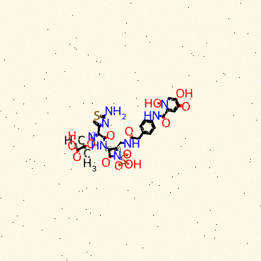 CC(C)(O/N=C(\C(=O)N[C@@H]1C(=O)N(S(=O)(=O)O)[C@@H]1CNC(=O)Cc1ccc(NC(=O)c2cc(=O)c(O)cn2O)cc1)c1csc(N)n1)C(=O)O